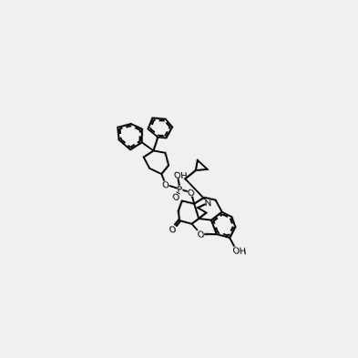 O=C1CCC2(OP(=O)(O)OC3CCC(c4ccccc4)(c4ccccc4)CC3)C3Cc4ccc(O)c5c4C2(CCN3CC2CC2)C1O5